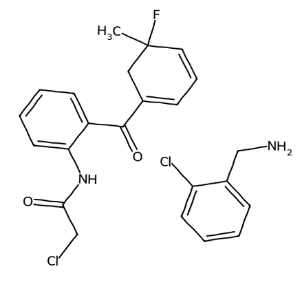 CC1(F)C=CC=C(C(=O)c2ccccc2NC(=O)CCl)C1.NCc1ccccc1Cl